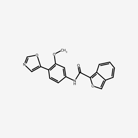 COc1cc(NC(=O)c2occ3ccccc23)ccc1-c1cnco1